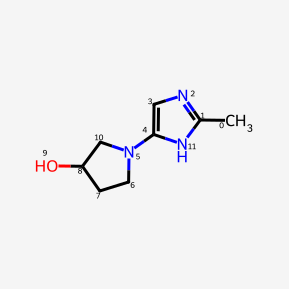 Cc1ncc(N2CCC(O)C2)[nH]1